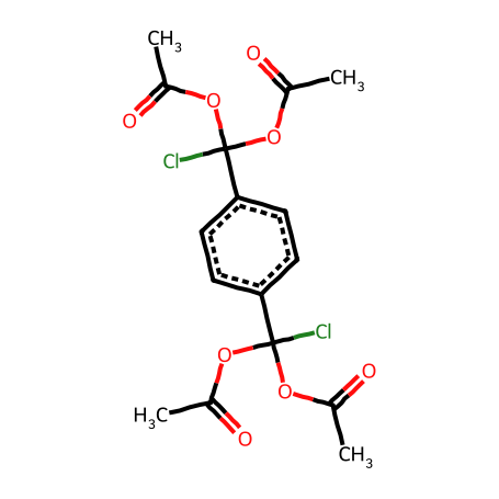 CC(=O)OC(Cl)(OC(C)=O)c1ccc(C(Cl)(OC(C)=O)OC(C)=O)cc1